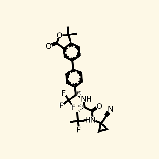 CC(C)(F)C[C@H](N[C@@H](c1ccc(-c2ccc3c(c2)C(=O)OC3(C)C)cc1)C(F)(F)F)C(=O)NC1(C#N)CC1